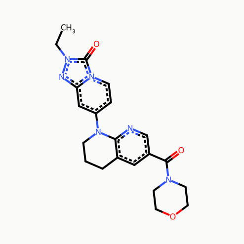 CCn1nc2cc(N3CCCc4cc(C(=O)N5CCOCC5)cnc43)ccn2c1=O